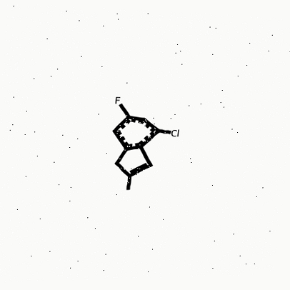 CC1=Cc2c(Cl)cc(F)cc2C1